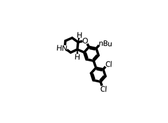 CCCCc1cc(-c2ccc(Cl)cc2Cl)cc2c1O[C@H]1CCNC[C@@H]21